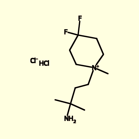 CC(C)(N)CC[N+]1(C)CCC(F)(F)CC1.Cl.[Cl-]